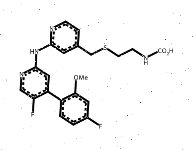 COc1cc(F)ccc1-c1cc(Nc2cc(CSCCNC(=O)O)ccn2)ncc1F